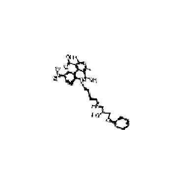 Cc1nc(C)c(C(=O)O)c(-c2cc([N+](=O)[O-])ccc2OCCCCNC[C@H](O)COc2ccccc2)c1C(=O)O